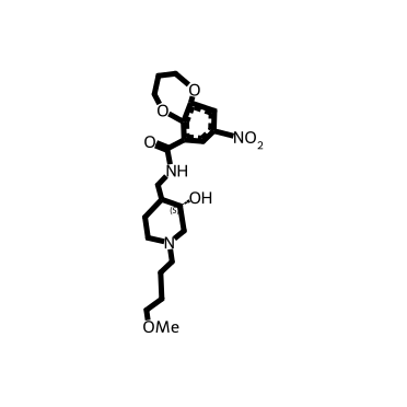 COCCCCN1CCC(CNC(=O)c2cc([N+](=O)[O-])cc3c2OCCCO3)[C@H](O)C1